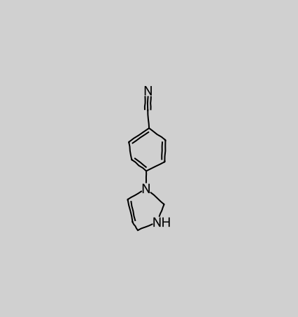 N#Cc1ccc(N2C=CCNC2)cc1